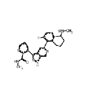 CNC(=O)c1ncccc1-c1n[nH]c2cnc(-c3c(F)ccc4c3CCCC4NC)cc12